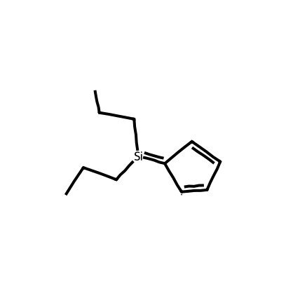 CCC[Si](CCC)=C1[C]=CC=C1